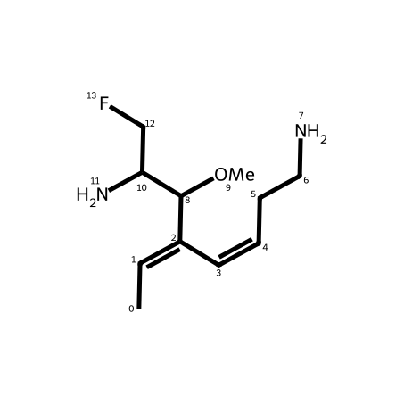 C/C=C(\C=C/CCN)C(OC)C(N)CF